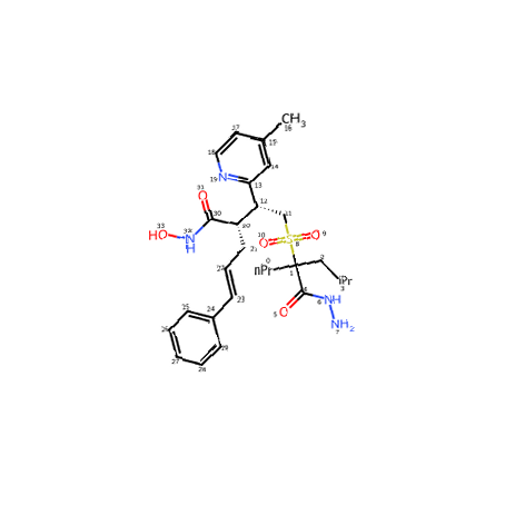 CCCC(CC(C)C)(C(=O)NN)S(=O)(=O)C[C@@H](c1cc(C)ccn1)[C@H](C/C=C/c1ccccc1)C(=O)NO